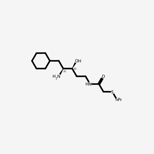 CCCSCC(=O)NCC[C@H](O)[C@@H](N)CC1CCCCC1